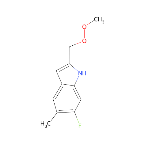 COOCc1cc2cc(C)c(F)cc2[nH]1